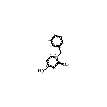 Cc1ccn(Cc2cc[c]cc2)c(=O)c1